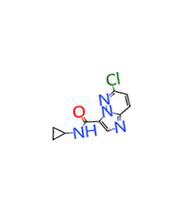 O=C(NC1CC1)c1cnc2ccc(Cl)nn12